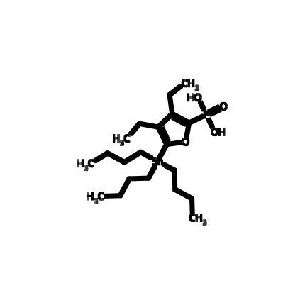 CCC[CH2][Sn]([CH2]CCC)([CH2]CCC)[c]1oc(P(=O)(O)O)c(CC)c1CC